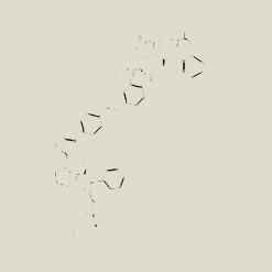 COO/C=N/C(C(=O)N1CCC[C@H]1c1ncc(-c2ccc(CCc3ccc4nc([C@@H]5CNCC5C(=O)[C@H](NC(=O)OC)c5ccccc5)[nH]c4c3)cc2)o1)c1ccccc1